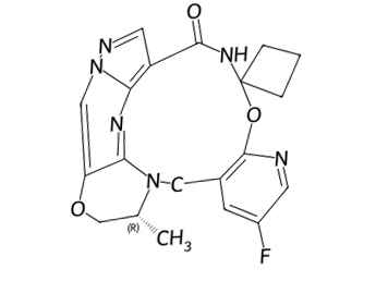 C[C@@H]1COc2cn3ncc4c3nc2N1Cc1cc(F)cnc1OC1(CCC1)NC4=O